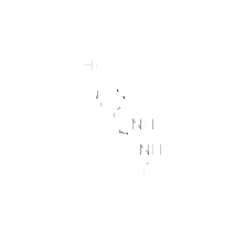 CSCCC(NC(C)=O)C(=O)NC1CC(C)N(C(CO)C(C)=O)C1=O